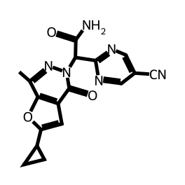 Cc1nn(C(C(N)=O)c2ncc(C#N)cn2)c(=O)c2cc(C3CC3)oc12